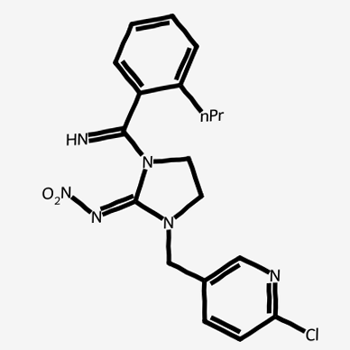 CCCc1ccccc1C(=N)N1CCN(Cc2ccc(Cl)nc2)/C1=N/[N+](=O)[O-]